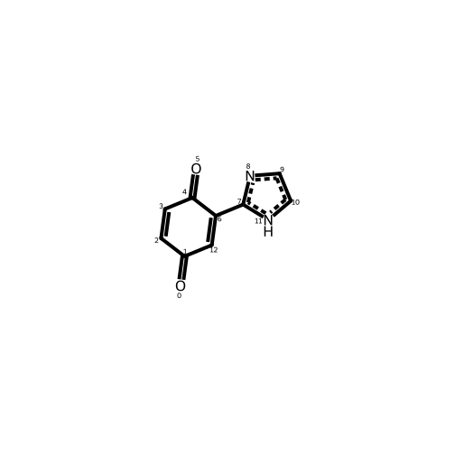 O=C1C=CC(=O)C(c2ncc[nH]2)=C1